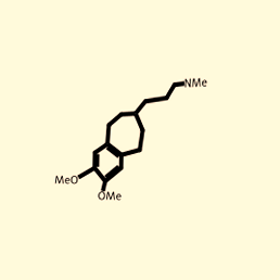 CNCCCC1CCc2cc(OC)c(OC)cc2CC1